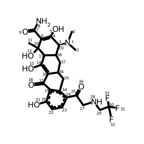 CN(C)[C@@H]1C(O)=C(C(N)=O)C(C)(O)C2C(O)=C3C(=O)c4c(O)ccc(C(=O)CNCC(F)(F)F)c4CC3CC21